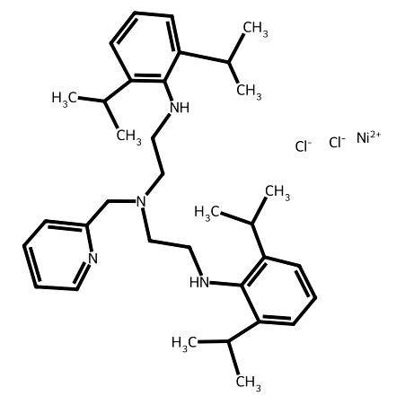 CC(C)c1cccc(C(C)C)c1NCCN(CCNc1c(C(C)C)cccc1C(C)C)Cc1ccccn1.[Cl-].[Cl-].[Ni+2]